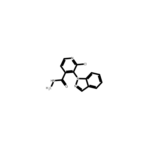 CNC(=O)c1ccnc(Cl)c1-n1ncc2ccccc21